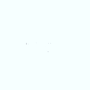 CC(C)COC(=O)Oc1ccc(C=O)cc1